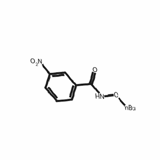 CCCCONC(=O)c1cccc([N+](=O)[O-])c1